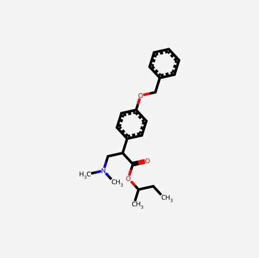 CCC(C)OC(=O)C(CN(C)C)c1ccc(OCc2ccccc2)cc1